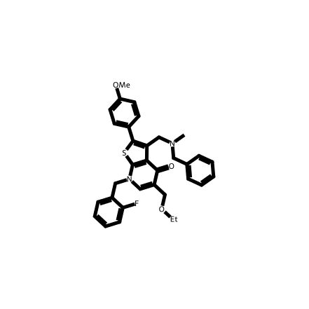 CCOCc1cn(Cc2ccccc2F)c2sc(-c3ccc(OC)cc3)c(CN(C)Cc3ccccc3)c2c1=O